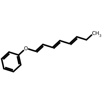 CC/C=C/C=C/C=C/Oc1ccccc1